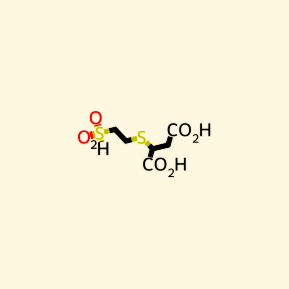 [2H]S(=O)(=O)CCSC(CC(=O)O)C(=O)O